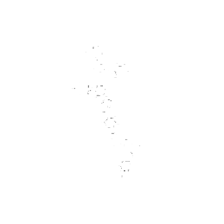 CC1(C)CCC(c2ccc(Cl)cc2)=C(CN2CCN(c3ccc(C(=O)NS(=O)(=O)c4ccc(N[C@H](CCN5CCOCC5)CSC5=CCCC=C5)c(S(=O)(=O)C(F)(F)F)c4)cc3)CC2)C1